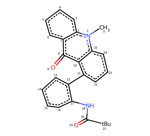 Cn1c2ccccc2c(=O)c2c(-c3ccccc3NC(=O)C(C)(C)C)cccc21